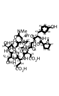 CNC(=O)[C@@H](NC(=O)[C@H](CO)NC(=O)[C@H](CO)NC(=O)[C@@H](NC(=O)[C@H](CCC(=O)O)NC(=O)[C@H](CC(=O)O)NC(=O)[C@H](CS)NC(=O)[C@H](Cc1ccc(O)cc1)NC(=O)C1CCCN1C)[C@@H](C)O)C(C)C